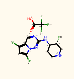 Fc1cc(Br)n2nc(N[C@@H]3CCNC[C@H]3F)ncc12.O=C(O)C(F)(F)F